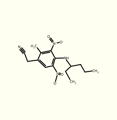 CCCC(CC)Nc1c([N+](=O)[O-])cc(CC#N)c(C)c1[N+](=O)[O-]